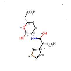 O=C(O)C[C@@H]1CC[C@H](NC(O)C(C(=O)O)c2ccsc2)B(O)O1